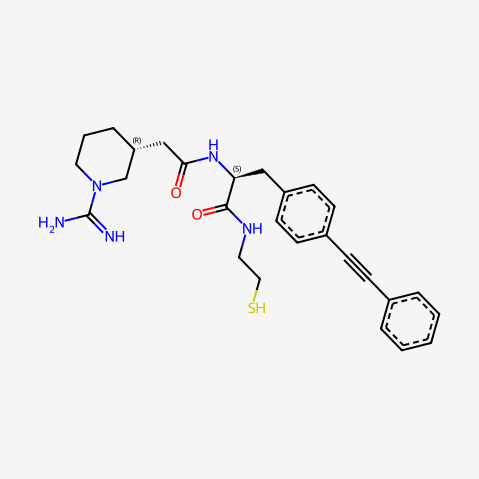 N=C(N)N1CCC[C@H](CC(=O)N[C@@H](Cc2ccc(C#Cc3ccccc3)cc2)C(=O)NCCS)C1